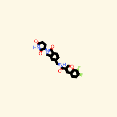 O=C1CCC(N2Cc3cc(CNC(=O)C4=Cc5ccc(F)c(F)c5OC4)ccc3C2=O)C(=O)N1